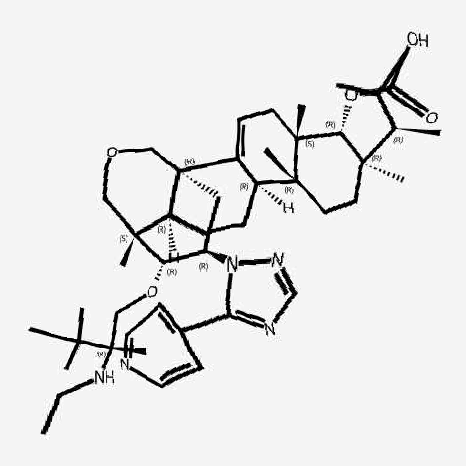 CCN[C@@](C)(CO[C@H]1[C@H](n2ncnc2-c2ccncc2)C[C@@]23COC[C@]1(C)[C@@H]2CC[C@H]1C3=CC[C@]2(C)[C@H](OC(=O)O)[C@@](C)([C@H](C)C(C)C)CC[C@]12C)C(C)(C)C